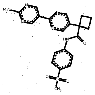 CS(=O)(=O)c1ccc(NC(=O)C2(c3ccc(-c4cnc(N)nc4)nc3)CCC2)cc1